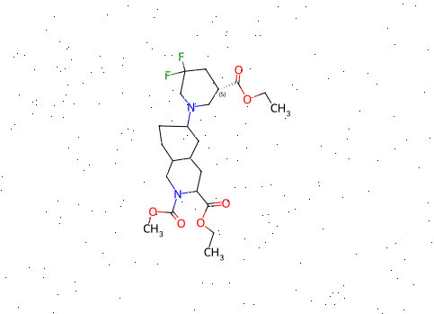 CCOC(=O)C1CC2CC(N3C[C@@H](C(=O)OCC)CC(F)(F)C3)CCC2CN1C(=O)OC